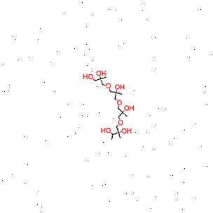 CC(O)C(C)(O)COCC(C)(O)COCC(C)(O)COCC(C)(O)CO